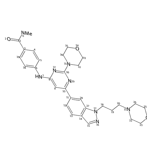 CNC(=O)c1ccc(Nc2cc(-c3ccc4cnn(CCCN5CCOCC5)c4c3)nc(N3CCOCC3)n2)cc1